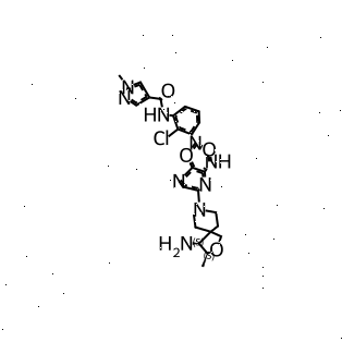 C[C@@H]1OCC2(CCN(c3cnc4on(-c5cccc(NC(=O)c6cnn(C)c6)c5Cl)o[nH]c4n3)CC2)[C@@H]1N